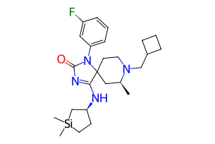 C[C@H]1CC2(CCN1CC1CCC1)C(N[C@H]1CC[Si](C)(C)C1)=NC(=O)N2c1cccc(F)c1